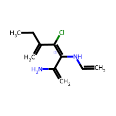 C=CN/C(C(=C)N)=C(\Cl)C(=C)CC